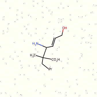 CC(C)CC(C)(C(=O)O)C(N)C=CCO